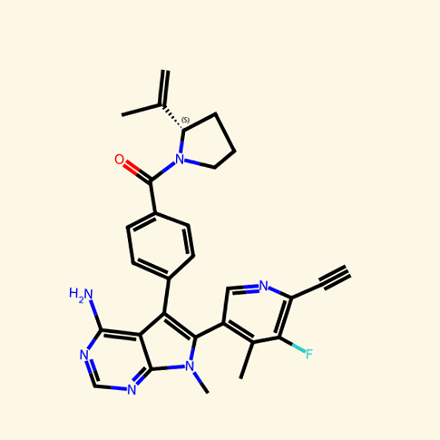 C#Cc1ncc(-c2c(-c3ccc(C(=O)N4CCC[C@H]4C(=C)C)cc3)c3c(N)ncnc3n2C)c(C)c1F